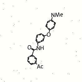 CNc1ccc(Oc2cccc(NC(=O)c3cccc(C(C)=O)c3)c2)cc1